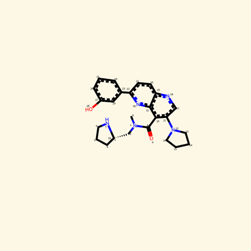 CN(C[C@@H]1CCCN1)C(=O)c1c(N2CCCC2)cnc2ccc(-c3cccc(O)c3)nc12